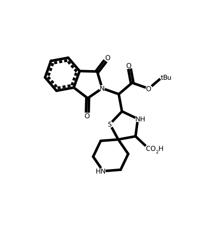 CC(C)(C)OC(=O)C(C1NC(C(=O)O)C2(CCNCC2)S1)N1C(=O)c2ccccc2C1=O